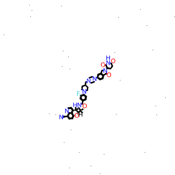 CC1(C)C(NC(=O)c2ccc(N3CCC(CN4CCN(c5ccc6c(c5)CN([C@H]5CCC(=O)NC5=O)C6=O)CC4)CC3)c(F)c2)C2(C)c3ccnc4c(C#N)ccc(c34)O[C@@H]12